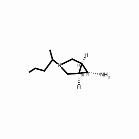 CCCC(C)N1C[C@@H]2[C@@H](N)[C@@H]2C1